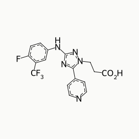 O=C(O)CCn1nc(Nc2ccc(F)c(C(F)(F)F)c2)nc1-c1ccncc1